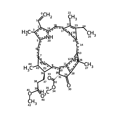 C=Cc1c(C)c2cc3nc(c4c5[nH]c(cc6nc(cc1[nH]2)C(C)=C6CC)c(C)c5C(=O)[C@@H]4C(=O)OC)[C@@H](CCC(=O)OC)C3C